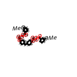 COc1cccc(C(=O)OOC(=O)OC2CCC(CC3CCC(OC(=O)OOC(=O)c4cccc(OC)c4)CC3)CC2)c1